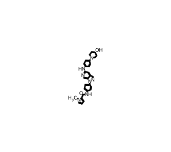 Cn1cccc1C(=O)Nc1ccc(-n2ncc3cc(Nc4ccc(N5CCC(O)CC5)cc4)ncc32)cc1